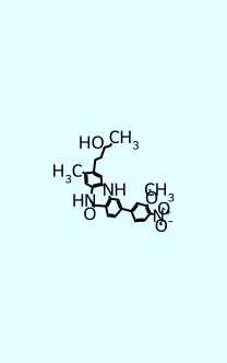 CCC(O)CCc1cc2c(cc1C)NC(=O)c1ccc(-c3ccc([N+](=O)[O-])c(OC)c3)cc1N2